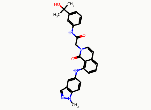 Cn1ncc2cc(Nc3cccc4ccn(CC(=O)Nc5cccc(C(C)(C)O)c5)c(=O)c34)ccc21